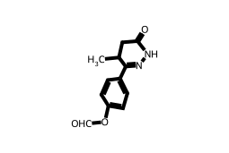 CC1CC(=O)NN=C1c1ccc(OC=O)cc1